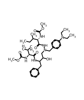 CCC(C)[C@H](NC(=O)OC)C(=O)NN(Cc1ccc(N(CC)CC)cc1)CC(O)C(Cc1ccccc1)NC(=O)[C@@H](NC(=O)OC)C(C)C